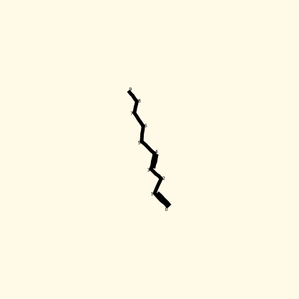 C=CC/C=C/CCCCC